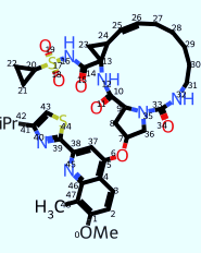 COc1ccc2c(OC3CC4C(=O)NC5(C(=O)NS(=O)(=O)C6CC6)CC5C=CCCCCCNC(=O)N4C3)cc(-c3nc(C(C)C)cs3)nc2c1C